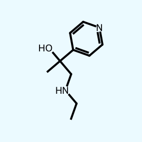 CCNCC(C)(O)c1ccncc1